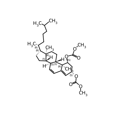 COC(=O)O[C@@H]1C=C2C=C[C@H]3[C@@H]4CC[C@H]([C@H](C)CCCC(C)C)[C@@]4(C)CC[C@@H]3[C@@]2(C)[C@@H](OC(=O)OC)C1